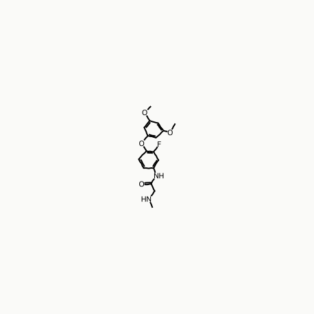 CNCC(=O)Nc1ccc(Oc2cc(OC)cc(OC)c2)c(F)c1